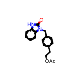 CC(=O)OCCc1ccc(Cn2c(=O)[nH]c3ccccc32)cc1